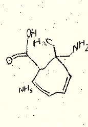 CC1(N)C=CC=CC1C(=O)O.N